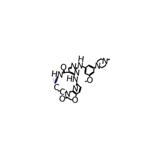 COc1cc(Nc2ncc3c(n2)Nc2ccc4c(n2)N(CCC/C=C\NC3=O)C(=O)CO4)cc(N2CCN(C)CC2)c1